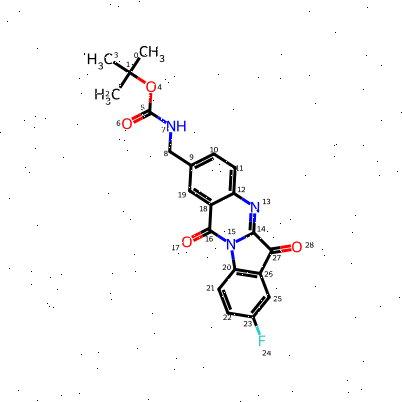 CC(C)(C)OC(=O)NCc1ccc2nc3n(c(=O)c2c1)-c1ccc(F)cc1C3=O